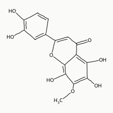 COc1c(O)c(O)c2c(=O)cc(-c3ccc(O)c(O)c3)oc2c1O